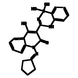 O=c1c(C2=NS(O)(O)c3ccccc3N2)c(O)c2ccccc2n1N=C1CCCC1